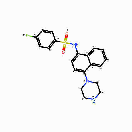 O=S(=O)(Nc1ccc(N2CCNCC2)c2ccccc12)c1ccc(F)cc1